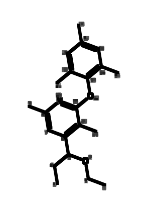 CCOC(CC)c1cc(C)nc(Oc2c(C)cc(C)cc2C)c1C